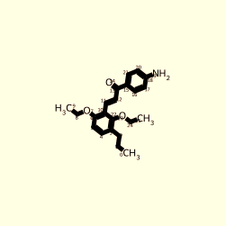 CCCc1ccc(OCC)c(C=CC(=O)c2ccc(N)cc2)c1OCC